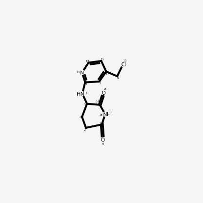 O=C1CCC(Nc2cc(CCl)ccn2)C(=O)N1